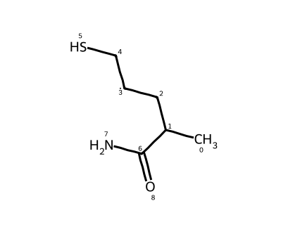 CC(C[CH]CS)C(N)=O